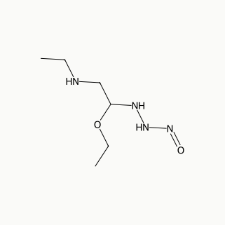 CCNCC(NNN=O)OCC